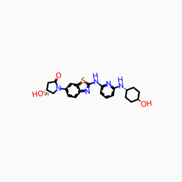 O=C1C[C@@H](O)CN1c1ccc2nc(Nc3cccc(N[C@H]4CC[C@H](O)CC4)n3)sc2c1